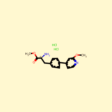 COC(=O)[C@@H](N)Cc1ccc(-c2ccnc(OC)c2)cc1.Cl.Cl